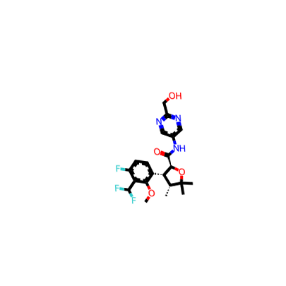 COc1c([C@@H]2[C@@H](C(=O)Nc3cnc(CO)nc3)OC(C)(C)[C@@H]2C)ccc(F)c1C(F)F